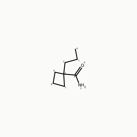 CCCC1(C(N)=O)CCC1